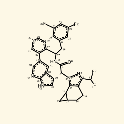 O=C(Cn1nc(C(F)F)c2c1C1CC1CC2)NC(Cc1cc(F)cc(F)c1)c1ncncc1-c1cnc2[nH]ccc2c1